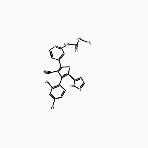 CNC(=O)Nc1cc(-c2sc(-c3ccn[nH]3)c(-c3ccc(Cl)cc3Cl)c2C#N)ccn1